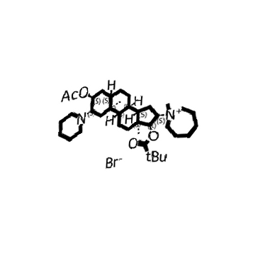 CC(=O)O[C@H]1C[C@@H]2CC[C@@H]3[C@H](CC[C@@]4(C)[C@H]3C[C@H]([N+]3(C)CCCCCC3)[C@@H]4OC(=O)C(C)(C)C)[C@@]2(C)C[C@@H]1N1CCCCC1.[Br-]